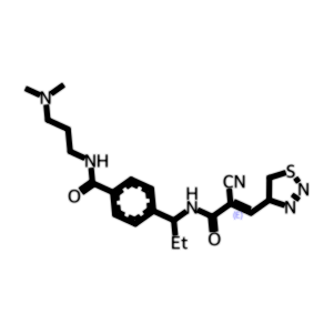 CCC(NC(=O)/C(C#N)=C/C1CSN=N1)c1ccc(C(=O)NCCCN(C)C)cc1